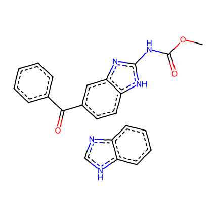 COC(=O)Nc1nc2cc(C(=O)c3ccccc3)ccc2[nH]1.c1ccc2[nH]cnc2c1